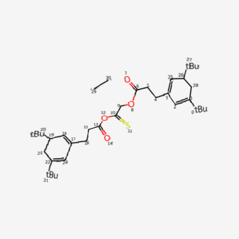 CC(C)(C)C1=CC(CCC(=O)OCC(=S)OC(=O)CCC2=CC(C(C)(C)C)CC(C(C)(C)C)=C2)=CC(C(C)(C)C)C1.[CH2][CH2]